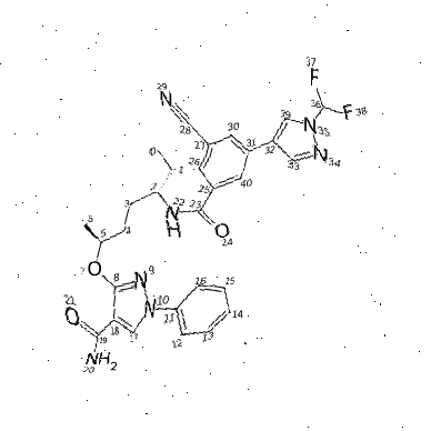 CC[C@@H](CC[C@H](C)Oc1nn(-c2ccccc2)cc1C(N)=O)NC(=O)c1cc(C#N)cc(-c2cnn(C(F)F)c2)c1